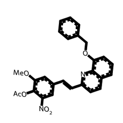 COc1cc(C=Cc2ccc3cccc(OCc4ccccc4)c3n2)cc([N+](=O)[O-])c1OC(C)=O